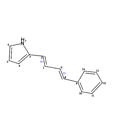 C(/C=C/c1ccc[nH]1)=C\c1ccccc1